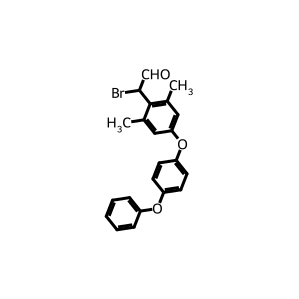 Cc1cc(Oc2ccc(Oc3ccccc3)cc2)cc(C)c1C(Br)C=O